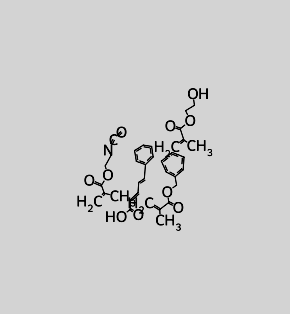 C=C(C)C(=O)OCCN=C=O.C=C(C)C(=O)OCCO.C=C(C)C(=O)OCc1ccccc1.O=C(O)C=CC=Cc1ccccc1